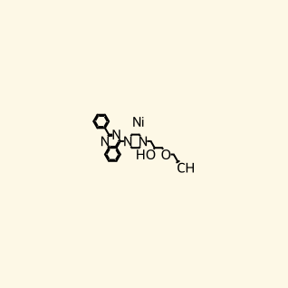 C#CCOCC(O)CN1CCN(c2nc(-c3ccccc3)nc3ccccc23)CC1.[Ni]